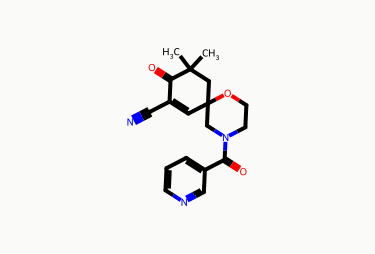 CC1(C)CC2(C=C(C#N)C1=O)CN(C(=O)c1cccnc1)CCO2